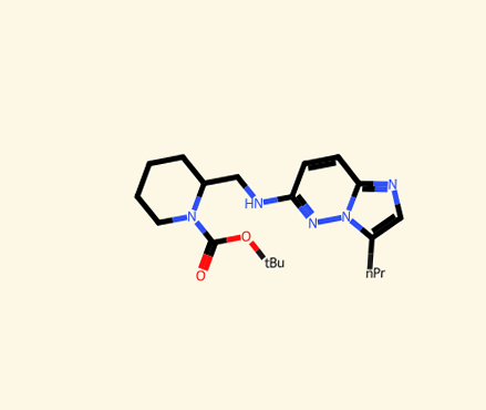 CCCc1cnc2ccc(NCC3CCCCN3C(=O)OC(C)(C)C)nn12